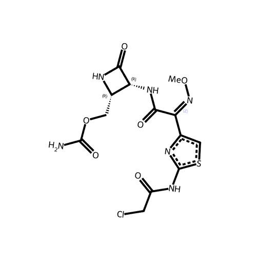 CO/N=C(\C(=O)N[C@H]1C(=O)N[C@H]1COC(N)=O)c1csc(NC(=O)CCl)n1